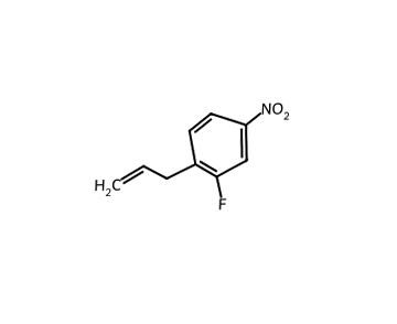 C=CCc1ccc([N+](=O)[O-])cc1F